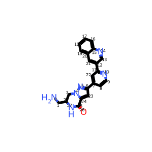 NCC1Cn2nc(-c3ccnc(-c4cnc5ccccc5c4)c3)cc2C(=O)N1